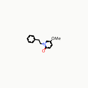 COc1ccc(=O)n(CCc2ccccc2)c1